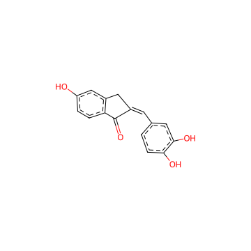 O=C1C(=Cc2ccc(O)c(O)c2)Cc2cc(O)ccc21